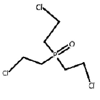 O=P(CCCl)(CCCl)CCCl